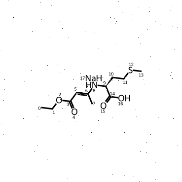 CCOC(=O)/C=C(\C)N[C@@H](CCSC)C(=O)O.[NaH]